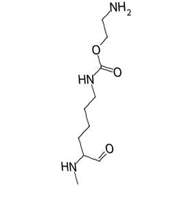 CNC(C=O)CCCCNC(=O)OCCN